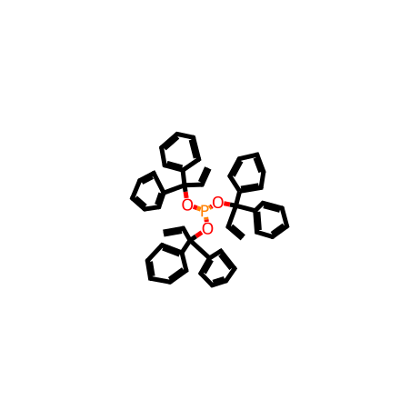 C=CC(OP(OC(C=C)(c1ccccc1)c1ccccc1)OC(C=C)(c1ccccc1)c1ccccc1)(c1ccccc1)c1ccccc1